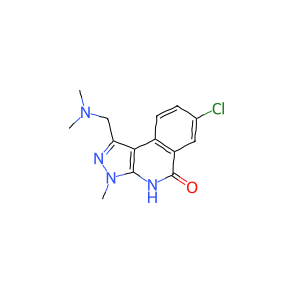 CN(C)Cc1nn(C)c2[nH]c(=O)c3cc(Cl)ccc3c12